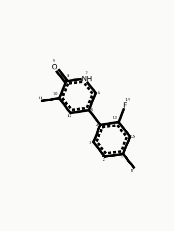 Cc1[c]cc(-c2c[nH]c(=O)c(C)c2)c(F)c1